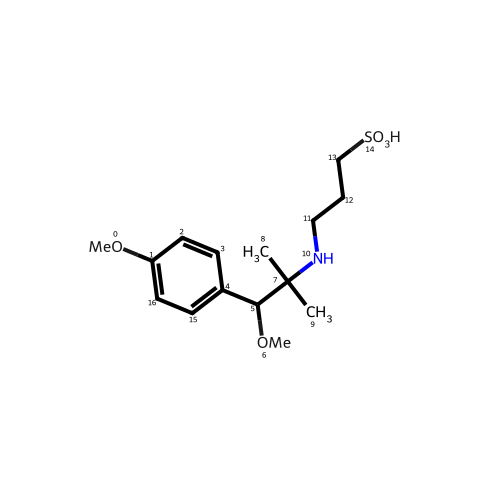 COc1ccc(C(OC)C(C)(C)NCCCS(=O)(=O)O)cc1